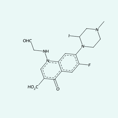 CN1CCN(c2cc3c(cc2F)c(=O)c(C(=O)O)cn3NCC=O)C(I)C1